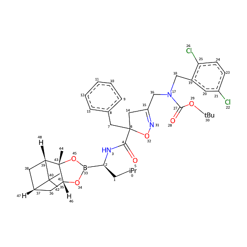 CC(C)C[C@H](NC(=O)C1(Cc2ccccc2)CC(CN(Cc2cc(Cl)ccc2Cl)C(=O)OC(C)(C)C)=NO1)B1O[C@@H]2C[C@@H]3C[C@@H](C3(C)C)[C@]2(C)O1